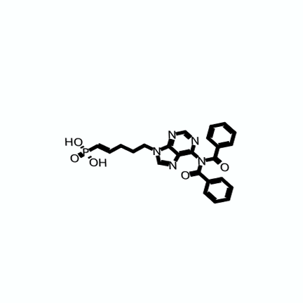 O=C(c1ccccc1)N(C(=O)c1ccccc1)c1ncnc2c1ncn2CCCC=CP(=O)(O)O